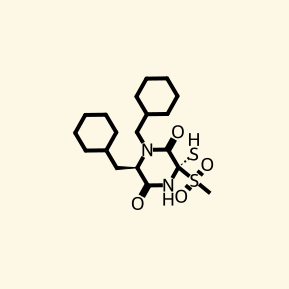 CS(=O)(=O)[C@@]1(S)NC(=O)[C@@H](CC2CCCCC2)N(CC2CCCCC2)C1=O